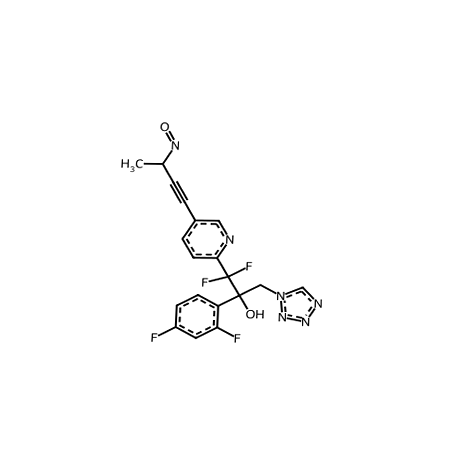 CC(C#Cc1ccc(C(F)(F)C(O)(Cn2cnnn2)c2ccc(F)cc2F)nc1)N=O